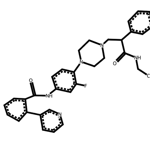 CCNC(=O)C(CN1CCN(c2ccc(NC(=O)c3ccccc3-c3cccnc3)cc2F)CC1)c1ccccc1